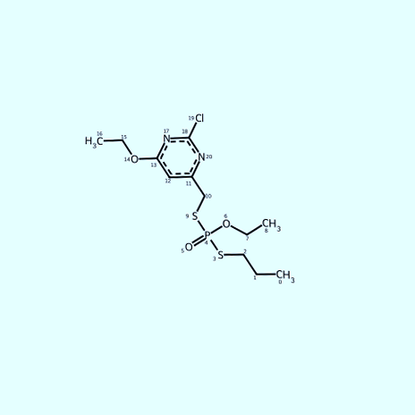 CCCSP(=O)(OCC)SCc1cc(OCC)nc(Cl)n1